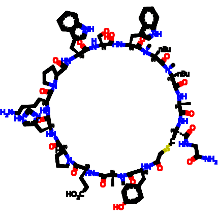 CCCC[C@H]1C(=O)N(C)[C@@H](CCCC)C(=O)N[C@@H](C)C(=O)N[C@H](C(=O)NCC(N)=O)CSCC(=O)N[C@@H](Cc2ccc(O)cc2)C(=O)N(C)[C@@H](C)C(=O)N[C@@H](CCC(=O)O)C(=O)N2CCC[C@H]2C(=O)N[C@@H](Cc2c[nH]cn2)C(=O)N[C@@H](CCCCN)C(=O)N2CCCC2C(=O)N[C@@H](Cc2c[nH]c3ccccc23)C(=O)N[C@@H](CO)C(=O)N[C@@H](Cc2c[nH]c3ccccc23)C(=O)N1C